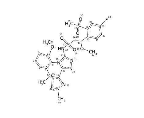 COc1cccc(OC)c1-n1c(NS(=O)(=O)C[C@@H](OC)c2ccc(F)cc2S(C)(=O)=O)nnc1-c1ccn(C)n1